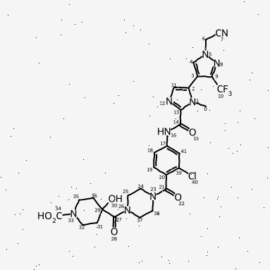 Cn1c(-c2cn(CC#N)nc2C(F)(F)F)cnc1C(=O)Nc1ccc(C(=O)N2CCN(C(=O)C3(O)CCN(C(=O)O)CC3)CC2)c(Cl)c1